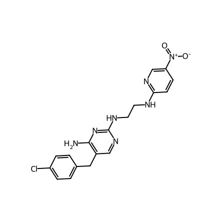 Nc1nc(NCCNc2ccc([N+](=O)[O-])cn2)ncc1Cc1ccc(Cl)cc1